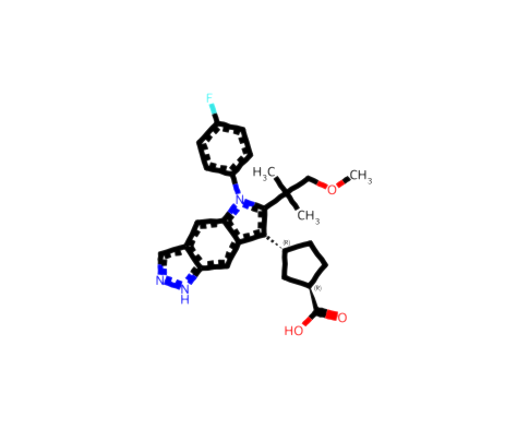 COCC(C)(C)c1c([C@@H]2CC[C@@H](C(=O)O)C2)c2cc3[nH]ncc3cc2n1-c1ccc(F)cc1